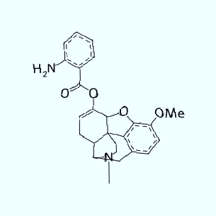 COc1ccc2c3c1OC1C(OC(=O)c4ccccc4N)=CCC4C(C2)N(C)CCC314